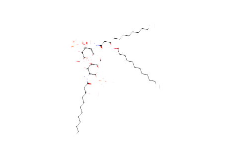 CCCCCCCCCCCC(=O)O[C@H](CCCCCCCCC)CC(=O)N[C@@H]1[C@H](OC[C@H]2O[C@@H](OP(=O)(O)O)[C@@H](NC(=O)C[C@H](O)CCCCCCCCC)[C@@H](O)[C@@H]2O)O[C@H](CO)[C@@H](OP(=O)(O)O)[C@@H]1O